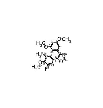 COc1cc(OC)cc(-c2ncoc2-c2cc(N)c(OC)c(F)c2)c1